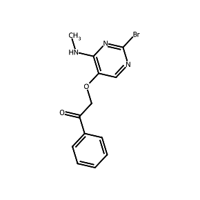 CNc1nc(Br)ncc1OCC(=O)c1ccccc1